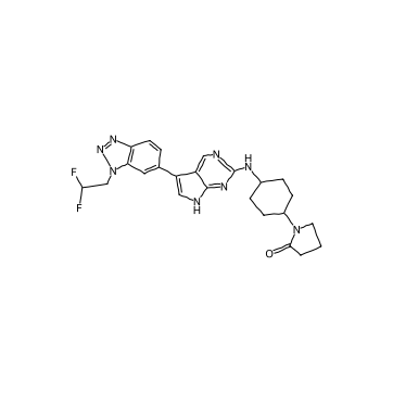 O=C1CCCN1C1CCC(Nc2ncc3c(-c4ccc5nnn(CC(F)F)c5c4)c[nH]c3n2)CC1